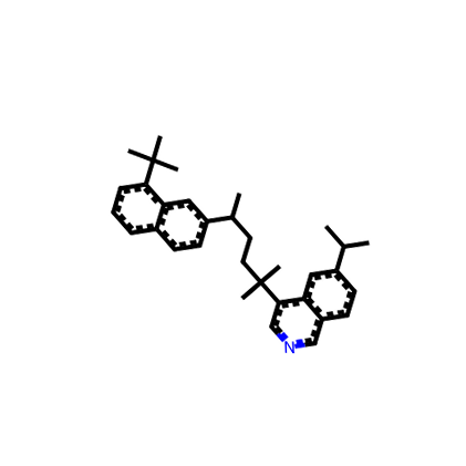 CC(C)c1ccc2cncc(C(C)(C)CCC(C)c3ccc4cccc(C(C)(C)C)c4c3)c2c1